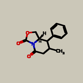 CC1CC(=O)N2C(=O)OC[C@@H]2C1c1ccccc1